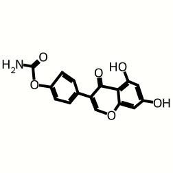 NC(=O)Oc1ccc(-c2coc3cc(O)cc(O)c3c2=O)cc1